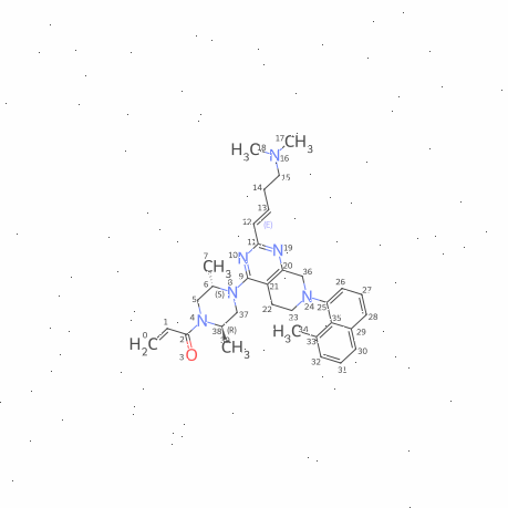 C=CC(=O)N1C[C@H](C)N(c2nc(/C=C/CCN(C)C)nc3c2CCN(c2cccc4cccc(C)c24)C3)C[C@H]1C